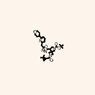 CC(C)(C)OC(=O)N1CC(c2nnc(Cc3cccc(C4CCOCC4)n3)o2)C2(C1)CN(C(=O)C1CC1(C)C)C2